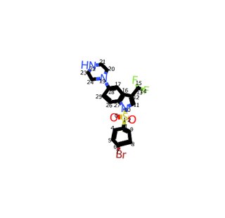 O=S(=O)(c1ccc(Br)cc1)n1cc(C(F)F)c2cc(N3CCNCC3)ccc21